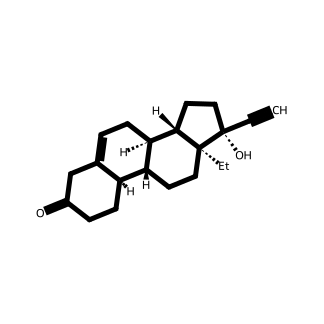 C#C[C@]1(O)CC[C@H]2[C@@H]3CC=C4CC(=O)CC[C@@H]4[C@H]3CC[C@@]21CC